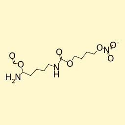 NC(CCCCNC(=O)OCCCCO[N+](=O)[O-])OC=O